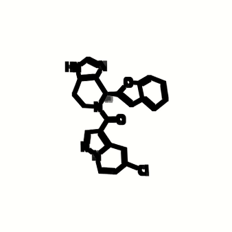 O=C(c1cnn2ccc(Cl)cc12)N1CCc2[nH]cnc2[C@H]1c1cc2ccccc2o1